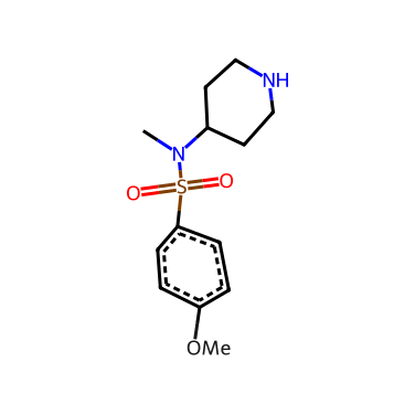 COc1ccc(S(=O)(=O)N(C)C2CCNCC2)cc1